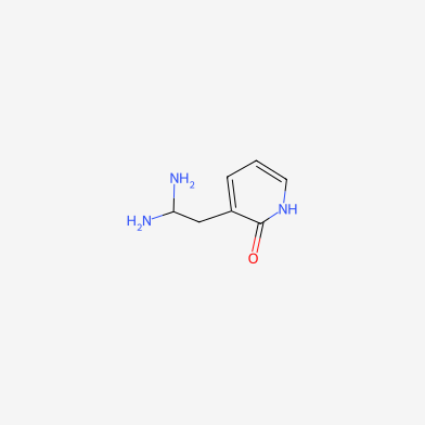 NC(N)Cc1ccc[nH]c1=O